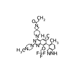 C=CC(=O)N1CC2(CCN(c3nc(N4CCN(C)CC4)nc4c(OCC(F)(F)F)c(-c5c(C)ccc6[nH]ncc56)c(C=C)cc34)CC2)C1